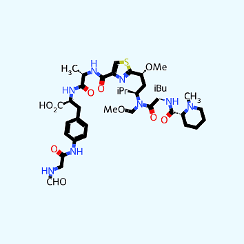 CC[C@H](C)[C@H](NC(=O)[C@H]1CCCCN1C)C(=O)N(COC)[C@H](C[C@@H](OC)c1nc(C(=O)N[C@@H](C)C(=O)N[C@@H](Cc2ccc(NC(=O)CNC=O)cc2)C(=O)O)cs1)C(C)C